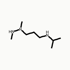 CNN(C)CCCNC(C)C